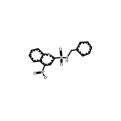 O=[N+]([O-])c1cc(S(=O)(=O)NCc2ccccc2)nc2ccccc12